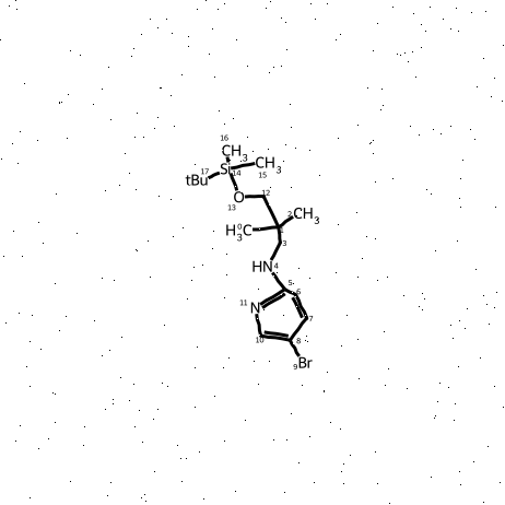 CC(C)(CNc1ccc(Br)cn1)CO[Si](C)(C)C(C)(C)C